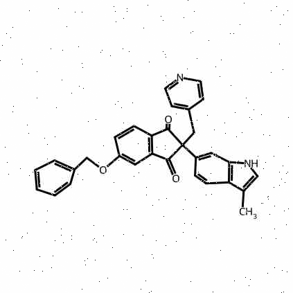 Cc1c[nH]c2cc(C3(Cc4ccncc4)C(=O)c4ccc(OCc5ccccc5)cc4C3=O)ccc12